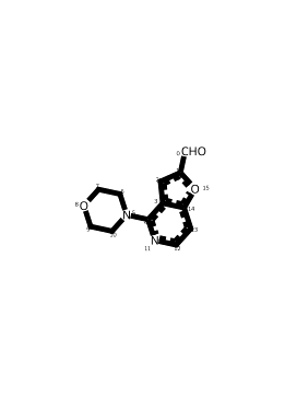 O=Cc1cc2c(N3CCOCC3)nccc2o1